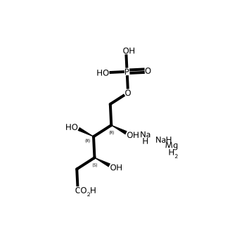 O=C(O)C[C@H](O)[C@@H](O)[C@H](O)COP(=O)(O)O.[MgH2].[NaH].[NaH]